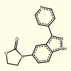 O=C1OCCN1c1ccc2[nH]nc(-c3ccncc3)c2c1